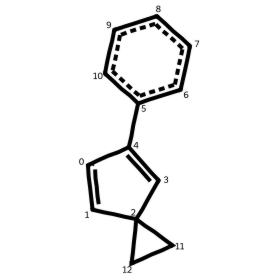 [C]1=CC2(C=C1c1ccccc1)CC2